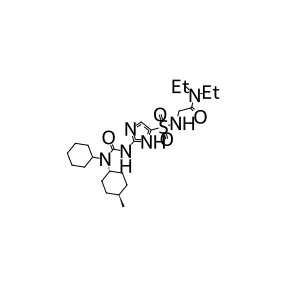 CCN(CC)C(=O)CNS(=O)(=O)c1cnc(NC(=O)N(C2CCCCC2)[C@H]2CC[C@H](C)CC2)[nH]1